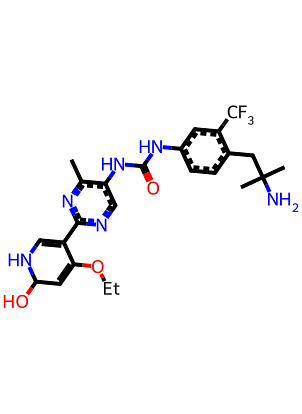 CCOC1=CC(O)NC=C1c1ncc(NC(=O)Nc2ccc(CC(C)(C)N)c(C(F)(F)F)c2)c(C)n1